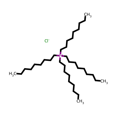 CCCCCCCCC[P+](CCCCCCCCC)(CCCCCCCCC)CCCCCCCCC.[Cl-]